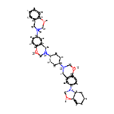 C1=C2OCN(c3ccc4c(c3)CN(C3CCC(N5COc6ccc(N7COc8ccccc8C7)cc6C5)CC3)CO4)C2CCC1